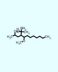 CCCCCCCC(OC)C(CC(C)O)C(C)(C)N